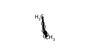 CCCCCCOCCOCCOc1ccc(OC(C)=O)cc1